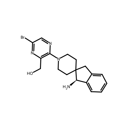 N[C@@H]1c2ccccc2CC12CCN(c1ncc(Br)nc1CO)CC2